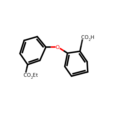 CCOC(=O)c1cccc(Oc2ccccc2C(=O)O)c1